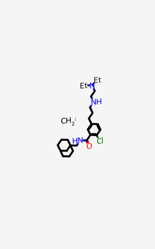 CCN(CC)CCNCCCc1ccc(Cl)c(C(=O)NCC23CCCC(CCC2)C3)c1.[CH2]